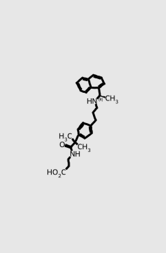 C[C@@H](NCCCc1ccc(C(C)(C)C(=O)NCCC(=O)O)cc1)c1cccc2ccccc12